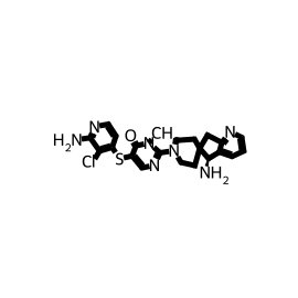 Cn1c(N2CCC3(CC2)Cc2ncccc2[C@H]3N)ncc(Sc2ccnc(N)c2Cl)c1=O